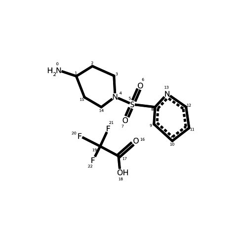 NC1CCN(S(=O)(=O)c2ccccn2)CC1.O=C(O)C(F)(F)F